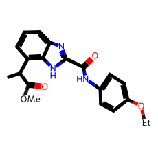 CCOc1ccc(NC(=O)c2nc3cccc(C(C)C(=O)OC)c3[nH]2)cc1